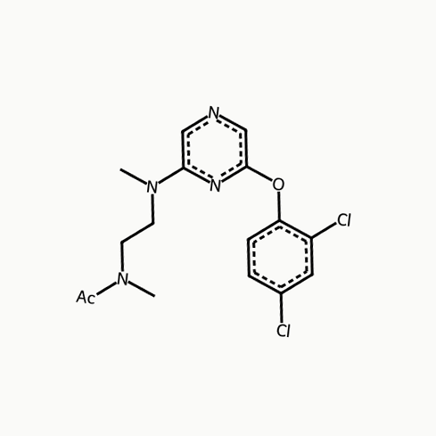 CC(=O)N(C)CCN(C)c1cncc(Oc2ccc(Cl)cc2Cl)n1